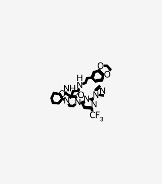 NC(=O)C1(CC(=O)NCCc2ccc3c(c2)OCCO3)CN(c2cc(C(F)(F)F)nc(-n3ccnc3)n2)CCN1C1CCCCC1